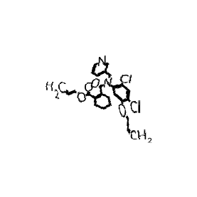 C=CCOC(=O)C1=C(C(=O)N(Cc2cccnc2)c2cc(OCC=C)c(Cl)cc2Cl)CCCC1